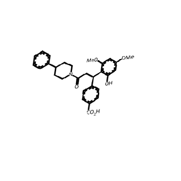 COc1cc(O)c(C(CC(=O)N2CCC(c3ccccc3)CC2)c2ccc(C(=O)O)cc2)c(OC)c1